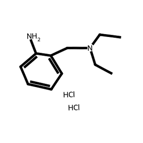 CCN(CC)Cc1ccccc1N.Cl.Cl